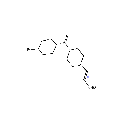 C=C([C@H]1CC[C@H](/C=C/C=O)CC1)[C@H]1CC[C@H](CC)CC1